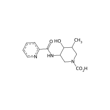 CC1CN(C(=O)O)CC(NC(=O)c2ccccn2)C1O